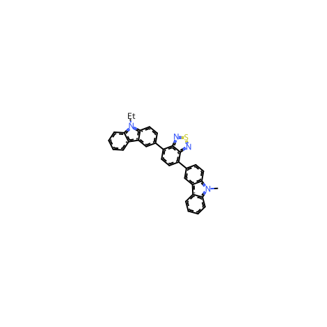 CCn1c2ccccc2c2cc(-c3ccc(-c4ccc5c(c4)c4ccccc4n5C)c4nsnc34)ccc21